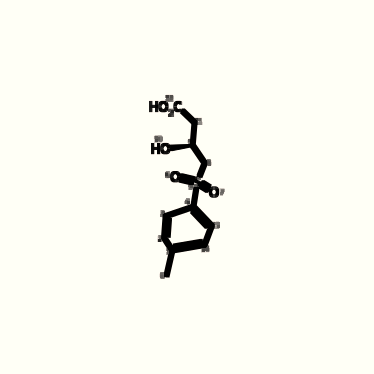 Cc1ccc(S(=O)(=O)C[C@@H](O)CC(=O)O)cc1